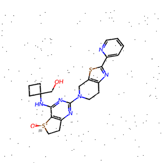 [O-][S@+]1CCc2nc(N3CCc4nc(-c5ccccn5)sc4C3)nc(NC3(CO)CCC3)c21